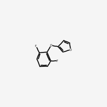 Fc1cccc(F)c1Oc1c[c]oc1